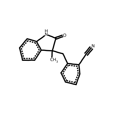 CC1(Cc2ccccc2C#N)C(=O)Nc2ccccc21